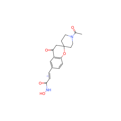 CC(=O)N1CCC2(CC1)CC(=O)c1cc(/C=C/C(=O)NO)ccc1O2